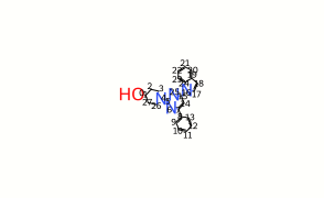 OC1CCN(c2nc(-c3ccccc3)cc(-n3ccc4ccccc43)n2)CC1